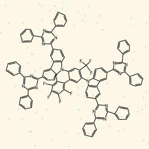 Fc1c(F)c(F)c(-c2cc(-n3c4ccc(-c5nc(-c6ccccc6)nc(-c6ccccc6)n5)cc4c4cc(-c5nc(-c6ccccc6)nc(-c6ccccc6)n5)ccc43)c(C(F)(F)F)cc2-n2c3ccc(-c4nc(-c5ccccc5)nc(-c5ccccc5)n4)cc3c3cc(-c4nc(-c5ccccc5)nc(-c5ccccc5)n4)ccc32)c(F)c1F